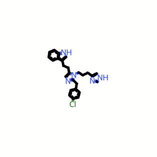 Clc1ccc(Cc2ncc(CCc3c[nH]c4ccccc34)n2CCCc2c[nH]cn2)cc1